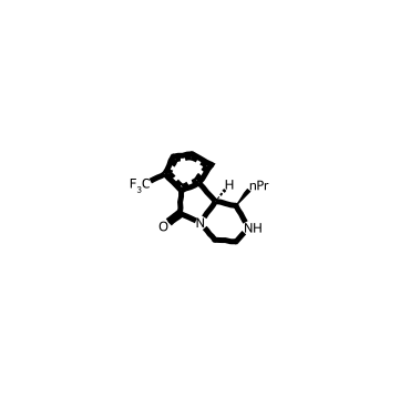 CCC[C@H]1NCCN2C(=O)c3c(cccc3C(F)(F)F)[C@@H]12